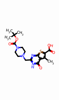 Cc1c(C(=O)O)sc2nc(CN3CCN(C(=O)OC(C)(C)C)CC3)[nH]c(=O)c12